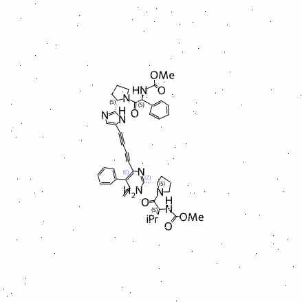 C=C/C(=C(C#CC#Cc1cnc([C@@H]2CCCN2C(=O)[C@@H](NC(=O)OC)c2ccccc2)[nH]1)\N=C(/N)[C@@H]1CCCN1C(=O)[C@@H](NC(=O)OC)C(C)C)c1ccccc1